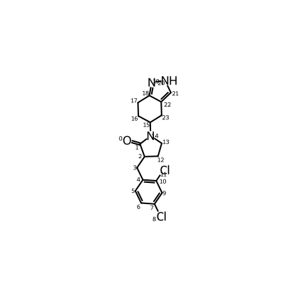 O=C1C(Cc2ccc(Cl)cc2Cl)CCN1C1CCc2n[nH]cc2C1